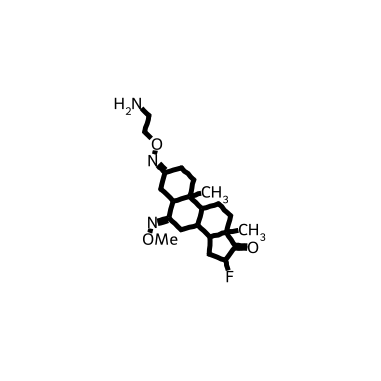 CON=C1CC2C3CC(F)C(=O)C3(C)CCC2C2(C)CCC(=NOCCN)CC12